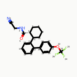 N#CCNC(=O)[C@@H]1CCCCC1c1ccccc1-c1ccc(OC(F)(F)F)cc1